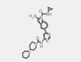 Nc1cc2cc(-c3cc(NC(=O)N4CCC(N5CCCCC5)CC4)ncn3)ccc2n1C(=O)NC1CC1